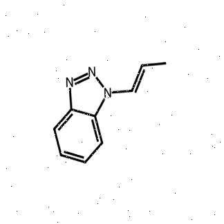 C/C=C/n1nnc2ccccc21